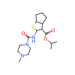 CC(C)OC(=O)C1C(NC(=O)N2CCN(C)CC2)SC2CCCC21